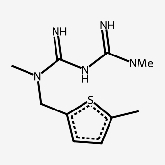 CNC(=N)NC(=N)N(C)Cc1ccc(C)s1